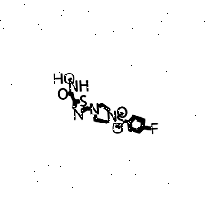 O=C(NO)c1cnc(N2CCN(S(=O)(=O)c3ccc(F)cc3)CC2)s1